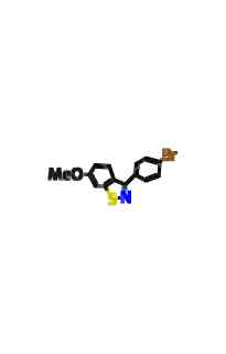 COc1ccc2c(-c3ccc(Br)cc3)nsc2c1